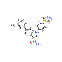 Cc1cccc(-c2ccc3c(C(N)=O)nn(-c4ccc(S(N)(=O)=O)cc4)c3c2)c1